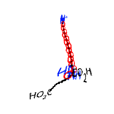 [N-]=[N+]=NCCOCCOCCOCCOCCOCCOCCOCCOCCOCCOCCOCCNC(=O)CC(NC(=O)CCCCCCCCCCCCCCCCC(=O)O)C(=O)O